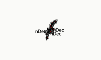 CCCCCCCCCCCCc1cc(-c2ccc(F)cc2)sc1-c1nc(CCCCCCCCCCCC)c(-c2sc(-c3sc(-c4ccc(-c5ccc(-c6ccc(F)cc6)s5)s4)cc3CCCCCCCCCCCC)nc2CCCCCCCCCCCC)s1